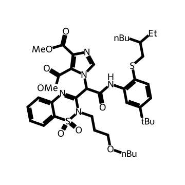 CCCCOCCCN1C(C(C(=O)Nc2cc(C(C)(C)C)ccc2SCC(CC)CCCC)n2cnc(C(=O)OC)c2C(=O)OC)=Nc2ccccc2S1(=O)=O